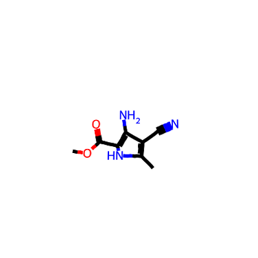 COC(=O)c1[nH]c(C)c(C#N)c1N